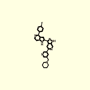 Fc1ccc(-c2nccc3[nH]c(-c4n[nH]c5cnc(-c6cncc(CN7CCCCC7)c6)cc45)cc23)cc1